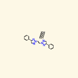 C(=Cn1ncc(-c2ccccc2)n1)n1ncc(-c2ccccc2)n1.[KH].[KH].[KH].[KH]